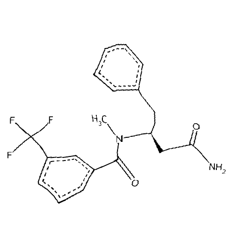 CN(C(=O)c1cccc(C(F)(F)F)c1)[C@H](CC(N)=O)Cc1ccccc1